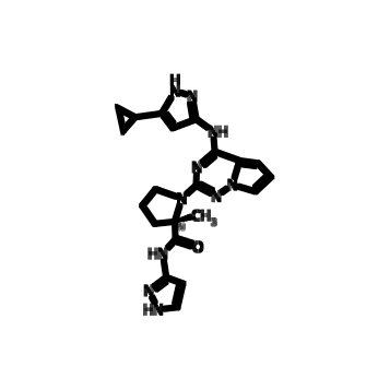 C[C@@]1(C(=O)Nc2cc[nH]n2)CCCN1c1nc(Nc2cc(C3CC3)[nH]n2)c2cccn2n1